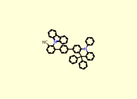 N#Cc1cccc(-c2ccc(-c3ccc4c(c3)C(c3ccccc3)(c3ccccc3)c3ccccc3N4c3ccccc3)cc2)c1-n1c2ccccc2c2ccccc21